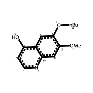 CCCCOc1cc2c(O)ccnc2cc1OC